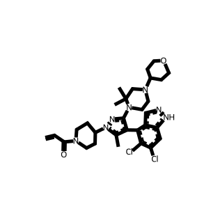 C=CC(=O)N1CCC(n2nc(N3CCN(C4CCOCC4)CC3(C)C)c(-c3c(Cl)c(Cl)cc4[nH]ncc34)c2C)CC1